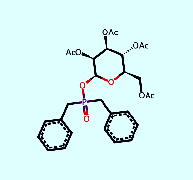 CC(=O)OC[C@H]1O[C@@H](OP(=O)(Cc2ccccc2)Cc2ccccc2)[C@@H](OC(C)=O)[C@@H](OC(C)=O)[C@@H]1OC(C)=O